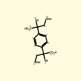 CCCCCCCCCCCC(S)(C(=O)O)c1ccc(C(S)(CCCCCCCCCCC)C(=O)O)cc1